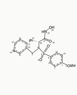 COc1ccc(S(=O)(=O)C(Cc2cccnc2)[C@@H](C(=O)NO)C(C)C)cc1